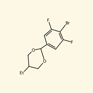 CCC1COC(c2cc(F)c(Br)c(F)c2)OC1